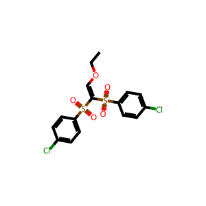 CCOC=C(S(=O)(=O)c1ccc(Cl)cc1)S(=O)(=O)c1ccc(Cl)cc1